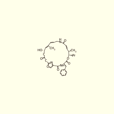 CC1=C\[C@@H](O)CC(=O)Cc2nc(co2)C(=O)N[C@H](Cc2ccccc2)C(=O)O[C@H](C(C)C)[C@H](C)/C=C/C(=O)NC\C=C\1